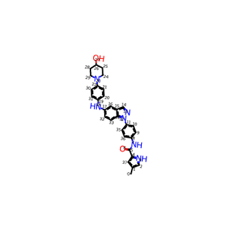 Cc1c[nH]c(C(=O)Nc2ccc(-n3ncc4cc(Nc5ccc(N6CCC(O)CC6)cc5)ccc43)cc2)c1